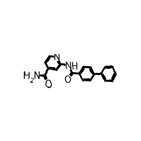 NC(=O)c1ccnc(NC(=O)c2ccc(-c3ccccc3)cc2)c1